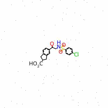 O=C(CNS(=O)(=O)c1ccc(Cl)cc1)c1ccc2c(c1)CC(C(=O)O)C2